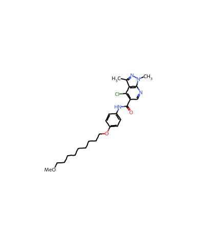 COCCCCCCCCCOc1ccc(NC(=O)c2cnc3c(c(C)nn3C)c2Cl)cc1